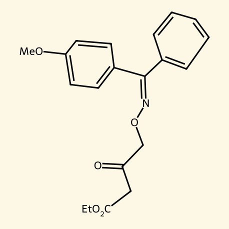 CCOC(=O)CC(=O)CON=C(c1ccccc1)c1ccc(OC)cc1